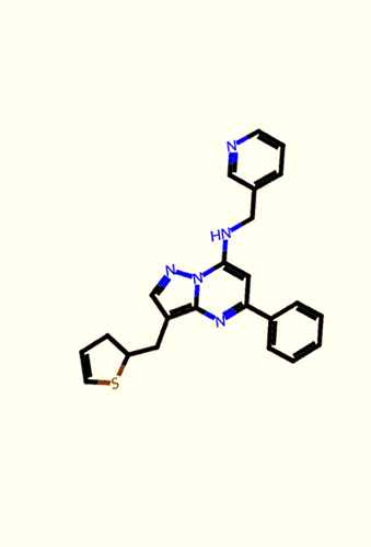 C1=CSC(Cc2cnn3c(NCc4cccnc4)cc(-c4ccccc4)nc23)C1